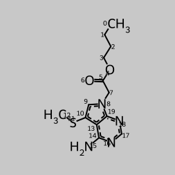 CCCCOC(=O)Cn1cc(SC)c2c(N)ncnc21